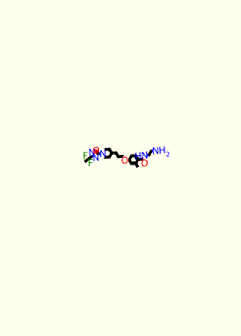 CC1=CC(OCCCC2CCN(c3nc(C(C)(F)F)no3)CC2)CC=C1C(=O)NCCN